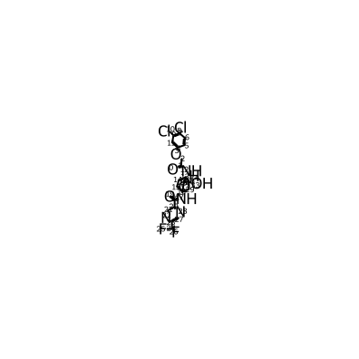 O=C(COc1ccc(Cl)c(Cl)c1)NC12CCC(NC(=O)c3cnc(C(F)F)cn3)(CC1)C[C@@H]2O